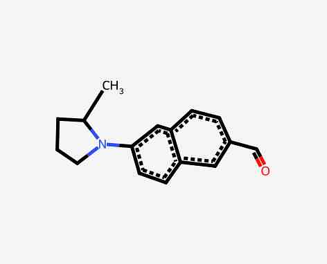 CC1CCCN1c1ccc2cc(C=O)ccc2c1